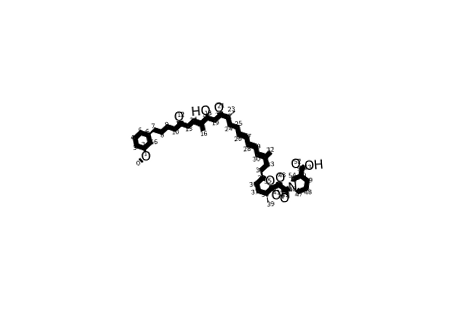 CO[C@H]1CCC[C@@H](CCCCC(=O)C/C=C(\C)[C@@H](O)CC(=O)[C@H](C)CC/C=C/C=C/C=C(\C)CC[C@@H]2CC[C@@H](C)[C@](O)(C(=O)C(=O)N3CCCC(C(=O)O)C3)O2)C1